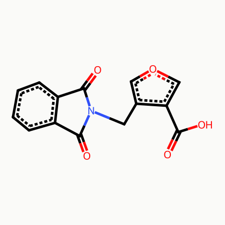 O=C(O)c1cocc1CN1C(=O)c2ccccc2C1=O